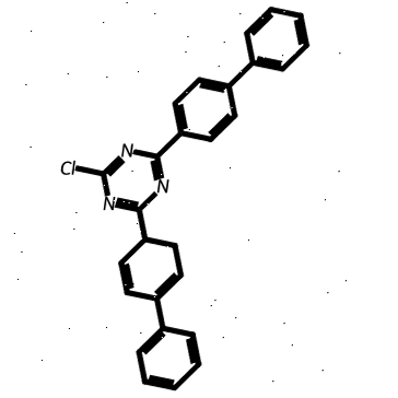 Clc1nc(-c2ccc(-c3ccccc3)cc2)nc(C2C=CC(c3ccccc3)=CC2)n1